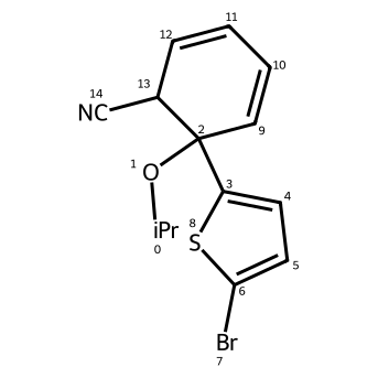 CC(C)OC1(c2ccc(Br)s2)C=CC=CC1C#N